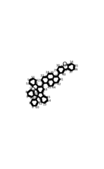 c1ccc(C2(c3ccccc3)c3ccccc3-c3cc(-c4ccc5ccc6c(-c7ccc8oc9ccccc9c8c7)ccc7ccc4c5c76)c4c(oc5ccccc54)c32)cc1